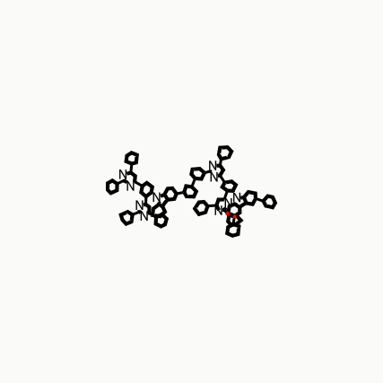 c1ccc(-c2ccc3c(c2)c2cc(-c4ccccc4)ccc2n3-c2ccc(-c3cc(-c4ccccc4)nc(-c4cccc(-c5cccc(-c6ccc7c(c6)c6ccccc6n7-c6ccc(-c7cc(-c8ccccc8)nc(-c8ccccc8)n7)cc6-c6cc(-c7ccccc7)nc(-c7ccccc7)n6)c5)c4)n3)cc2-c2cc(-c3ccccc3)nc(-c3ccccc3)n2)cc1